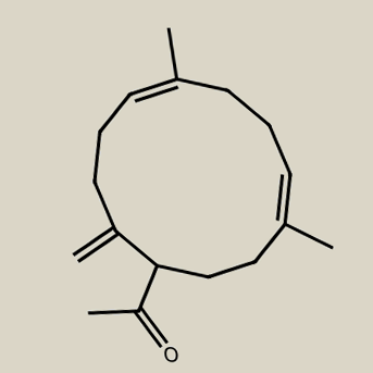 C=C1CC/C=C(/C)CC/C=C(/C)CCC1C(C)=O